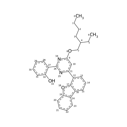 CCCCC(CC)COc1cc(-c2cccc3c2oc2ccccc23)nc(-c2ccccc2O)n1